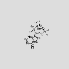 CC[C@@H]1[C@H]2OC(C)(C)OC2C2(n3cnc4c(Cl)ncnc43)C[C@@H]12